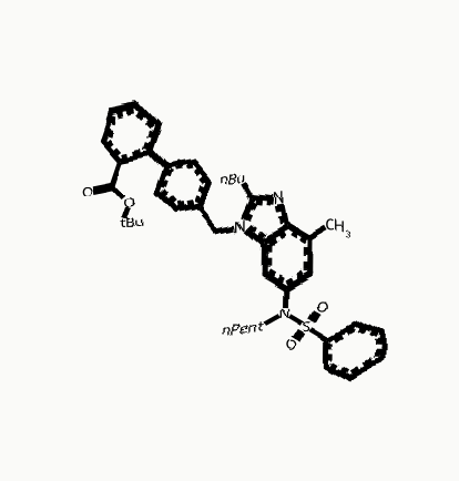 CCCCCN(c1cc(C)c2nc(CCCC)n(Cc3ccc(-c4ccccc4C(=O)OC(C)(C)C)cc3)c2c1)S(=O)(=O)c1ccccc1